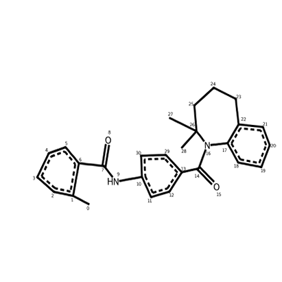 Cc1ccccc1C(=O)Nc1ccc(C(=O)N2c3ccccc3CCCC2(C)C)cc1